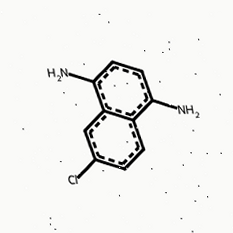 Nc1ccc(N)c2cc(Cl)ccc12